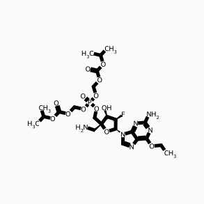 CCOc1nc(N)nc2c1ncn2[C@@H]1O[C@](CN)(COP(=O)(OCOC(=O)OC(C)C)OCOC(=O)OC(C)C)[C@@H](O)[C@H]1F